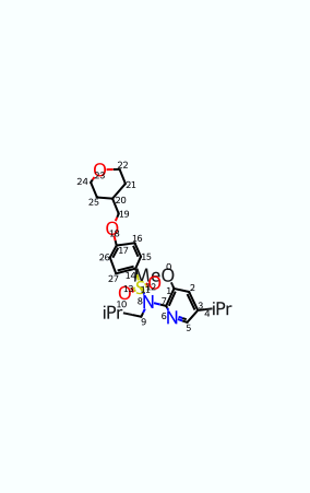 COc1cc(C(C)C)cnc1N(CC(C)C)S(=O)(=O)c1ccc(OCC2CCOCC2)cc1